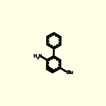 CC(C)(C)c1c#cc(N)c(-c2ccccc2)c1